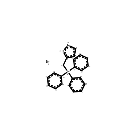 [Br-].c1ccc([P+](Cc2ccno2)(c2ccccc2)c2ccccc2)cc1